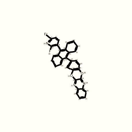 Fc1ccc(-c2c3ccccc3c(-c3ccc4c(c3)Oc3nc5ccccc5nc3O4)c3ccccc23)c(F)n1